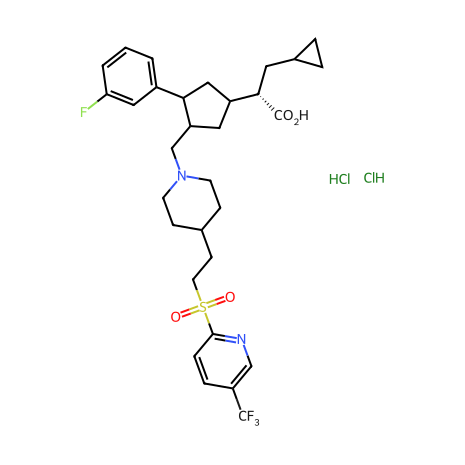 Cl.Cl.O=C(O)[C@@H](CC1CC1)C1CC(CN2CCC(CCS(=O)(=O)c3ccc(C(F)(F)F)cn3)CC2)C(c2cccc(F)c2)C1